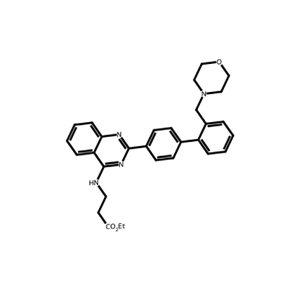 CCOC(=O)CCNc1nc(-c2ccc(-c3ccccc3CN3CCOCC3)cc2)nc2ccccc12